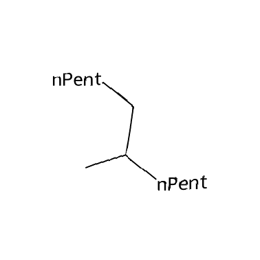 [CH2]CCCCCC(C)CCCC[CH2]